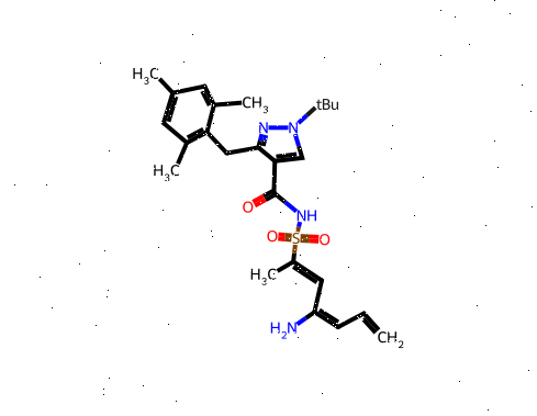 C=C/C=C(N)\C=C(/C)S(=O)(=O)NC(=O)c1cn(C(C)(C)C)nc1Cc1c(C)cc(C)cc1C